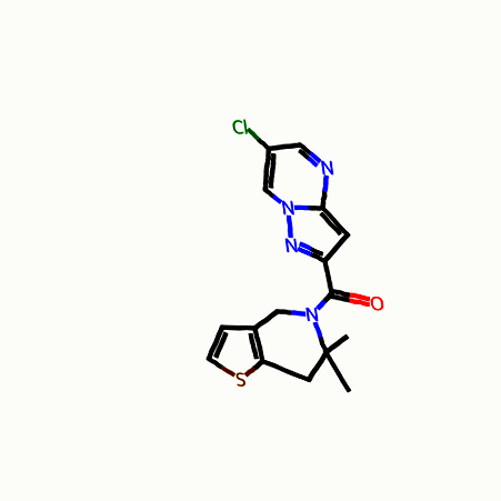 CC1(C)Cc2sccc2CN1C(=O)c1cc2ncc(Cl)cn2n1